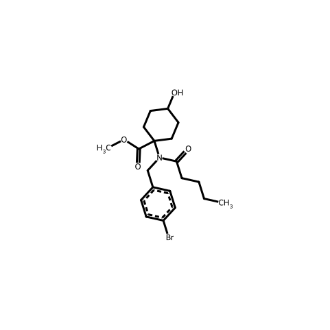 CCCCC(=O)N(Cc1ccc(Br)cc1)C1(C(=O)OC)CCC(O)CC1